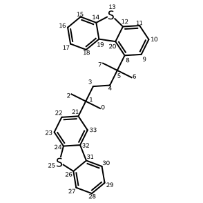 CC(C)(CCC(C)(C)c1cccc2sc3ccccc3c12)c1ccc2sc3ccccc3c2c1